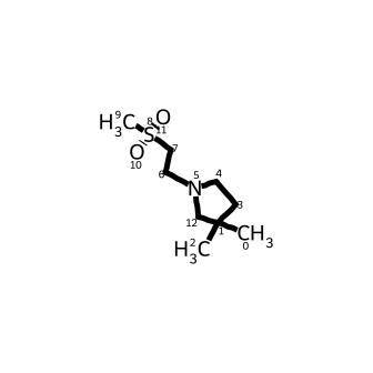 CC1(C)CCN(CCS(C)(=O)=O)C1